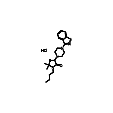 CCCCN1C(=O)C(N2CCN(c3nsc4ccccc34)CC2)SC1(C)C.Cl